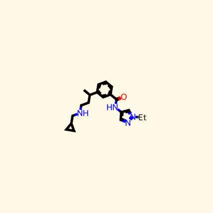 CCn1cc(NC(=O)c2cccc(C(C)CCNCC3CC3)c2)cn1